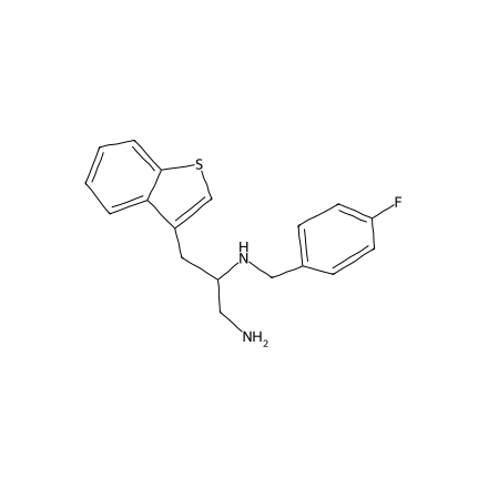 NCC(Cc1csc2ccccc12)NCc1ccc(F)cc1